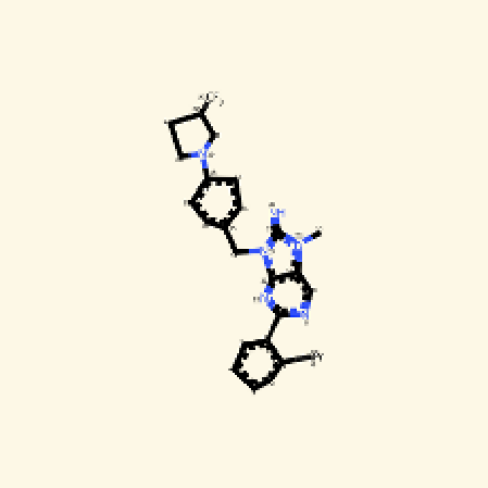 CC(C)c1ccccc1-c1ncc2c(n1)n(Cc1ccc(N3CCC(C(F)(F)F)C3)cc1)c(=N)n2C